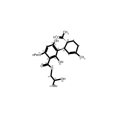 C=C(C)[C@@H]1CCC(C)=C[C@H]1c1c(O)cc(CCCCC)c(C(=O)OCC(O)CCCC)c1O